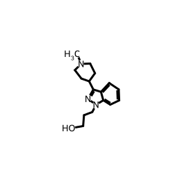 CN1CCC(c2nn(CCCO)c3ccccc23)CC1